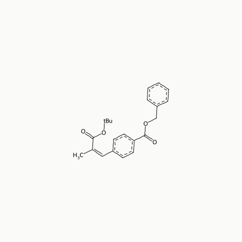 CC(=Cc1ccc(C(=O)OCc2ccccc2)cc1)C(=O)OC(C)(C)C